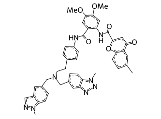 COc1cc(NC(=O)c2cc(=O)c3cc(C)ccc3o2)c(C(=O)Nc2ccc(CCN(Cc3ccc4c(cnn4C)c3)Cc3ccc4c(c3)nnn4C)cc2)cc1OC